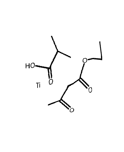 CC(C)C(=O)O.CCOC(=O)CC(C)=O.[Ti]